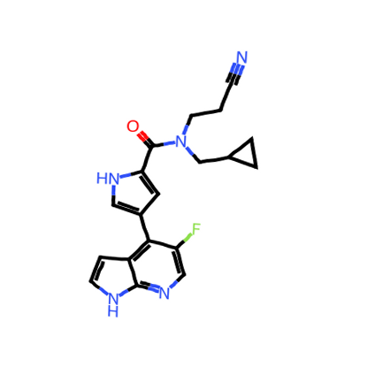 N#CCCN(CC1CC1)C(=O)c1cc(-c2c(F)cnc3[nH]ccc23)c[nH]1